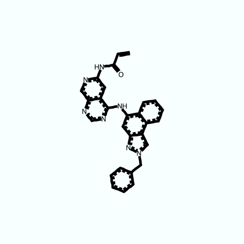 C=CC(=O)Nc1cc2c(Nc3cc4nn(Cc5ccccc5)cc4c4ccccc34)ncnc2cn1